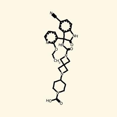 CCOc1ncccc1C1(NC(=O)N2CC3(C2)CN(C2CCN(C(=O)O)CC2)C3)C(=O)Nc2ccc(C#N)cc21